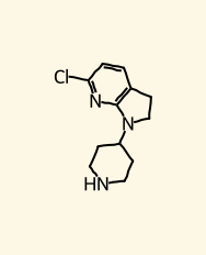 Clc1ccc2c(n1)N(C1CCNCC1)CC2